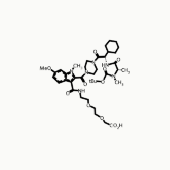 COc1ccc2c(C(=O)NCCOCCOCC(=O)O)c(C(=O)N3CCN(C(=O)[C@@H](NC(=O)[C@H](C)N(C)C(=O)OC(C)(C)C)C4CCCCC4)CC3)n(C)c2c1